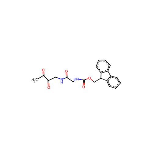 CC(=O)C(=O)CNC(=O)CNC(=O)OCC1c2ccccc2-c2ccccc21